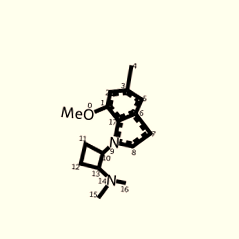 COc1cc(C)cc2ccn(C3CCC3N(C)C)c12